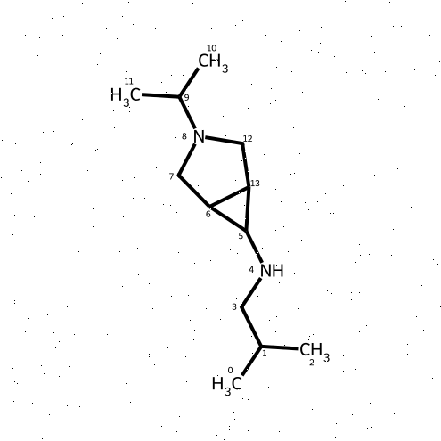 CC(C)CNC1C2CN(C(C)C)CC21